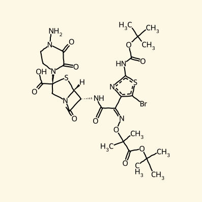 CC(C)(C)OC(=O)Nc1nc(/C(=N/OC(C)(C)C(=O)OC(C)(C)C)C(=O)N[C@@H]2C(=O)N3C[C@@](C(=O)O)(N4CCN(N)C(=O)C4=O)S[C@H]23)c(Br)s1